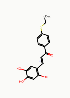 CCCCCCCCCCCSc1ccc(C(=O)/C=C/c2cc(O)c(O)cc2O)cc1